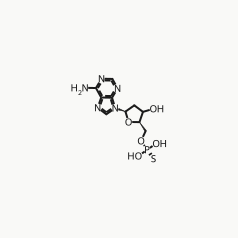 Nc1ncnc2c1ncn2[C@H]1CC(O)[C@@H](COP(O)(O)=S)O1